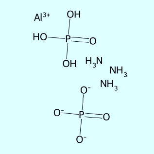 N.N.N.O=P(O)(O)O.O=P([O-])([O-])[O-].[Al+3]